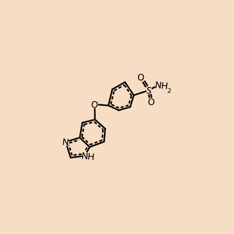 NS(=O)(=O)c1ccc(Oc2ccc3[nH]cnc3c2)cc1